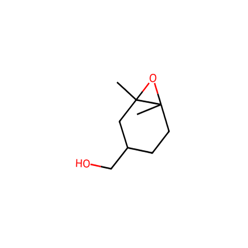 CC12CCC(CO)CC1(C)O2